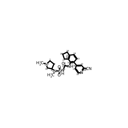 CN1CCC(N(C)S(=O)(=O)NC(=O)Nc2c(-c3ccnc(C#N)c3)ccc3c2CCC3)C1